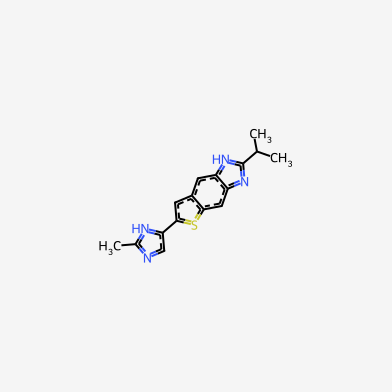 Cc1ncc(-c2cc3cc4[nH]c(C(C)C)nc4cc3s2)[nH]1